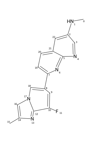 CNc1cnc2nc(-c3cc(F)c4nc(C)cn4c3)ccc2c1